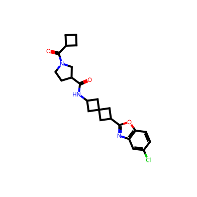 O=C(NC1CC2(C1)CC(c1nc3cc(Cl)ccc3o1)C2)C1CCN(C(=O)C2CCC2)C1